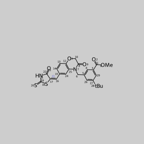 COC(=O)c1cc(CN2C(=O)COc3ccc(/C=C4/SC(=S)NC4=O)cc32)cc(C(C)(C)C)c1